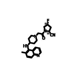 Cc1ccc2ncccc2c1NC1CCN(CC(=O)N2C[C@@H](F)C[C@H]2C#N)CC1